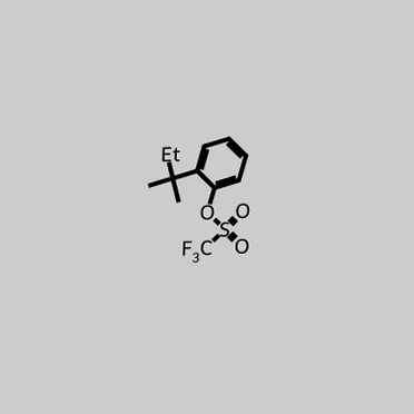 CCC(C)(C)c1ccccc1OS(=O)(=O)C(F)(F)F